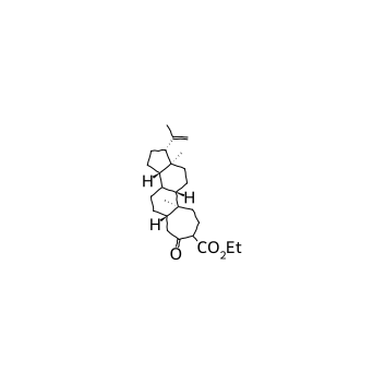 C=C(C)[C@H]1CC[C@H]2C3CC[C@H]4CC(=O)C(C(=O)OCC)CC[C@]4(C)[C@H]3CC[C@]12C